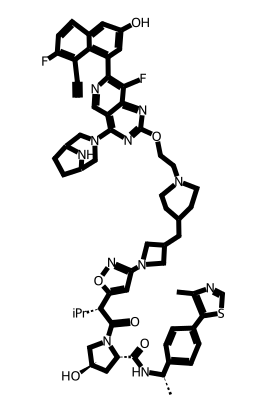 C#Cc1c(F)ccc2cc(O)cc(-c3ncc4c(N5CC6CCC(C5)N6)nc(OCCN5CCC(CC6CN(c7cc([C@H](C(=O)N8C[C@H](O)C[C@H]8C(=O)N[C@@H](C)c8ccc(-c9scnc9C)cc8)C(C)C)on7)C6)CC5)nc4c3F)c12